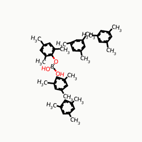 Cc1cc(C)c(OB(O)O)c(C)c1.Cc1cc(C)cc(C)c1.Cc1cc(C)cc(C)c1.Cc1cc(C)cc(C)c1.Cc1cc(C)cc(C)c1